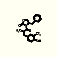 CC(Cc1ccc(O)c(C(F)(F)F)c1)C(=O)N1C(=O)OCC1Cc1ccccc1